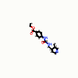 CCOC(=O)c1ccc(NC(=O)NCc2ccncc2C)cc1